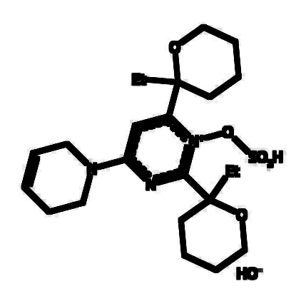 CCC1(c2cc(N3CC=CCC3)nc(C3(CC)CCCCO3)[n+]2OS(=O)(=O)O)CCCCO1.[OH-]